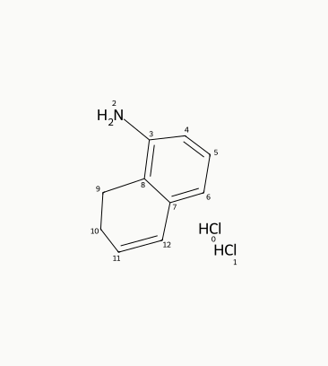 Cl.Cl.Nc1cccc2c1CCC=C2